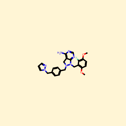 COc1ccc(OC)c(CN2c3ncnc(N)c3CN2Cc2ccc(Cn3cccn3)cc2)c1F